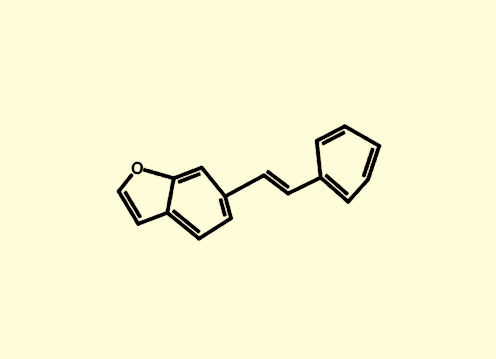 C(=Cc1ccc2ccoc2c1)c1ccccc1